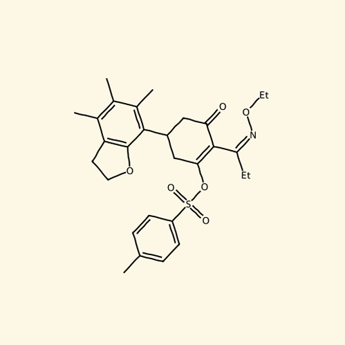 CCO/N=C(/CC)C1=C(OS(=O)(=O)c2ccc(C)cc2)CC(c2c(C)c(C)c(C)c3c2OCC3)CC1=O